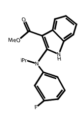 COC(=O)c1c(N(c2cccc(F)c2)C(C)C)[nH]c2ccccc12